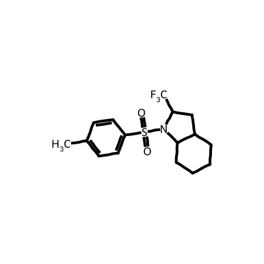 Cc1ccc(S(=O)(=O)N2C3CCCCC3CC2C(F)(F)F)cc1